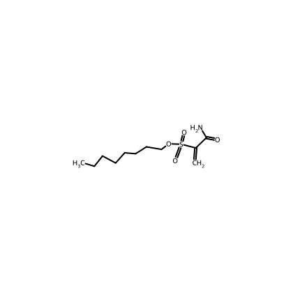 C=C(C(N)=O)S(=O)(=O)OCCCCCCCC